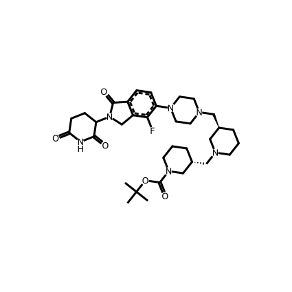 CC(C)(C)OC(=O)N1CCC[C@H](CN2CCC[C@H](CN3CCN(c4ccc5c(c4F)CN(C4CCC(=O)NC4=O)C5=O)CC3)C2)C1